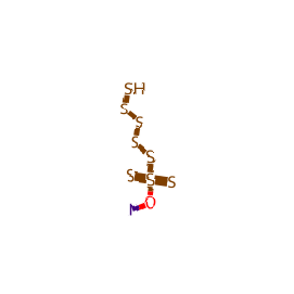 S=S(=S)(OI)SSSSS